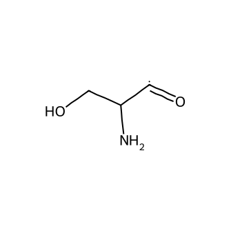 NC([C]=O)CO